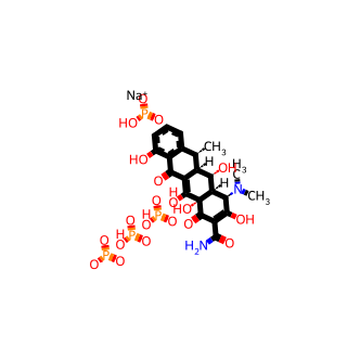 C[C@H]1c2cccc(O)c2C(=O)C2=C(O)[C@]3(O)C(=O)C(C(N)=O)=C(O)[C@@H](N(C)C)[C@@H]3[C@@H](O)[C@@H]21.O=P(=O)O.O=P(=O)O.O=P(=O)O.O=P(=O)[O-].[Na+]